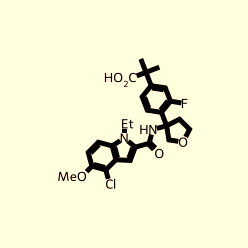 CCn1c(C(=O)NC2(c3ccc(C(C)(C)C(=O)O)cc3F)CCOC2)cc2c(Cl)c(OC)ccc21